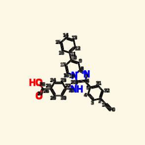 C#Cc1ccc(-c2nc3cc(-c4ccccc4)ccn3c2Nc2ccc(C(=O)O)cc2)cc1